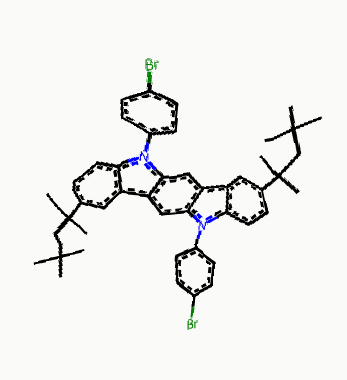 CC(C)(C)CC(C)(C)c1ccc2c(c1)c1cc3c(cc1n2-c1ccc(Br)cc1)c1cc(C(C)(C)CC(C)(C)C)ccc1n3-c1ccc(Br)cc1